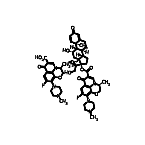 C[C@@H]1COc2c(N3CCN(C)CC3)c(F)cc3c(=O)c(C(=O)O[C@]4(C(=O)CO)CC[C@H]5[C@@H]6CCC7=CC(=O)C=C[C@]7(C)[C@H]6[C@@H](O)C[C@@]54C)cn1c23.C[C@H]1COc2c(N3CCN(C)CC3)c(F)cc3c(=O)c(C(=O)O)cn1c23